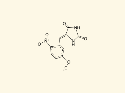 COc1ccc([N+](=O)[O-])c(/C=C2\NC(=O)NC2=O)c1